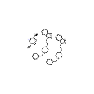 O=C(O)/C=C\C(=O)O.c1ccc(CN2CCC(CCc3noc4ccccc34)CC2)cc1.c1ccc(CN2CCC(CCc3noc4ccccc34)CC2)cc1